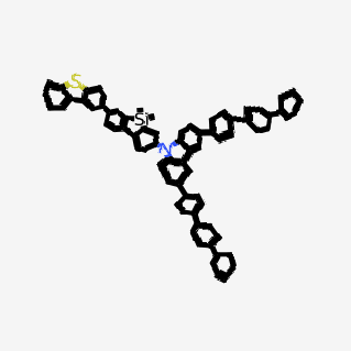 C[Si]1(C)c2cc(-c3ccc4sc5ccccc5c4c3)ccc2-c2ccc(-n3c4ccc(-c5ccc(-c6ccc(-c7ccccc7)cc6)cc5)cc4c4cc(-c5ccc(-c6ccc(-c7ccccc7)cc6)cc5)ccc43)cc21